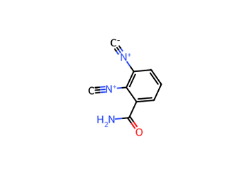 [C-]#[N+]c1cccc(C(N)=O)c1[N+]#[C-]